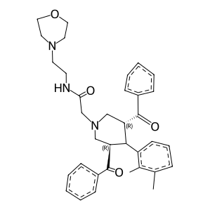 Cc1cccc(C2[C@@H](C(=O)c3ccccc3)CN(CC(=O)NCCN3CCOCC3)C[C@@H]2C(=O)c2ccccc2)c1C